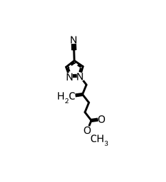 C=C(CCC(=O)OC)Cn1cc(C#N)cn1